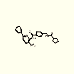 Nc1ccc(-c2ccccc2)nc1NC(=O)c1ccc(CNC(=O)C2CCCC2)cc1